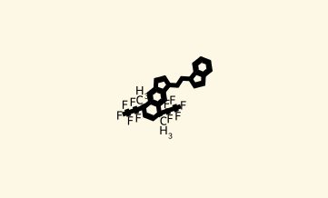 CC1(C(F)(F)C(F)(F)F)C=CC(C)(C(F)(F)C(F)(F)F)c2cc3c(cc21)C=CC3CCC1C=Cc2ccccc21